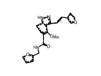 COc1c(C(=O)NCc2ccco2)ccc2[nH]nc(/C=C/c3ccoc3)c12